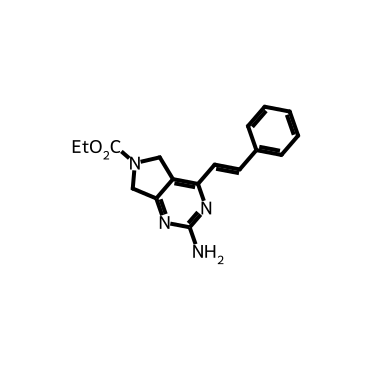 CCOC(=O)N1Cc2nc(N)nc(C=Cc3ccccc3)c2C1